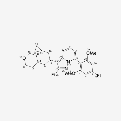 CCc1cc(OC)c(-c2cccc3c(N(CC4CCOCC4)CC4CC4)c(CC)nn23)c(OC)c1